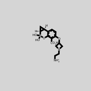 [NH3+]CCN1CC(Oc2ccc3c(c2C(=O)O)O[B-](O)(O)[C@H]2C[C@@H]32)C1